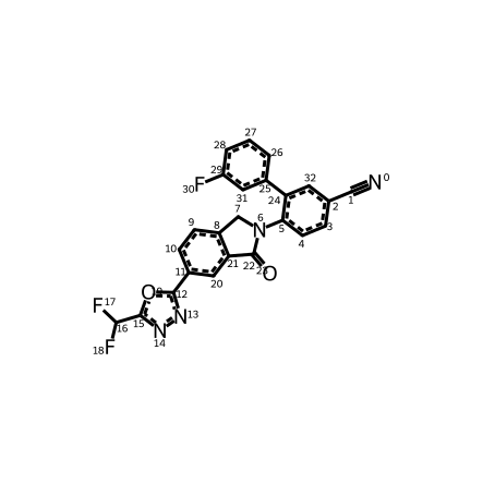 N#Cc1ccc(N2Cc3ccc(-c4nnc(C(F)F)o4)cc3C2=O)c(-c2cccc(F)c2)c1